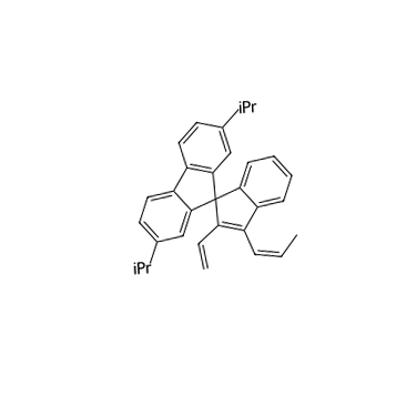 C=CC1=C(/C=C\C)c2ccccc2C12c1cc(C(C)C)ccc1-c1ccc(C(C)C)cc12